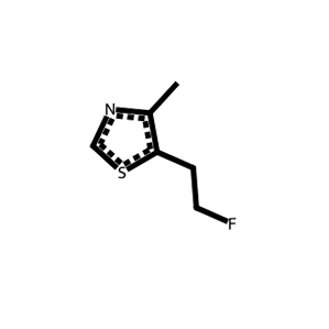 Cc1ncsc1CCF